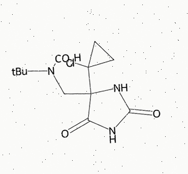 CC(C)(C)N(CC1(C2(Cl)CC2)NC(=O)NC1=O)C(=O)O